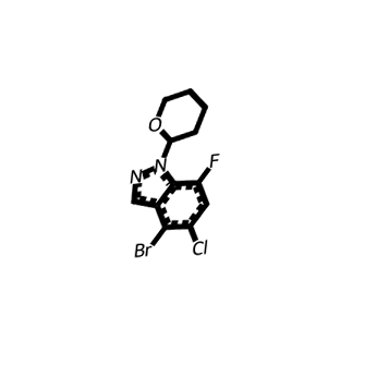 Fc1cc(Cl)c(Br)c2cnn(C3CCCCO3)c12